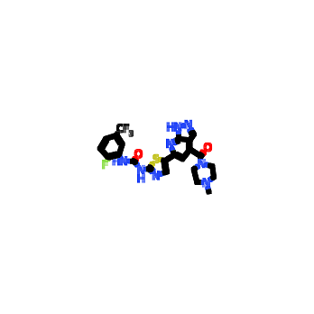 CN1CCN(C(=O)c2cc(-c3cnc(NC(=O)Nc4cc(C(F)(F)F)ccc4F)s3)nc3[nH]ncc23)CC1